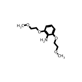 COCCOc1cccc(OCCOC)c1N